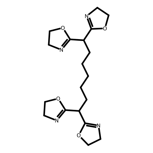 C(CCC(C1=NCCO1)C1=NCCO1)CCC(C1=NCCO1)C1=NCCO1